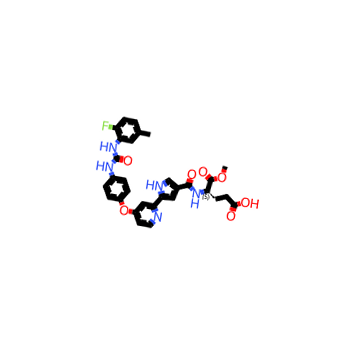 COC(=O)[C@H](CCC(=O)O)NC(=O)c1c[nH]c(-c2cc(Oc3ccc(NC(=O)Nc4cc(C)ccc4F)cc3)ccn2)c1